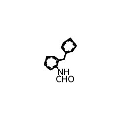 O=CNc1ccccc1Cc1ccccc1